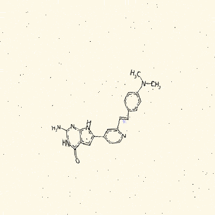 CN(C)c1ccc(/C=C/c2cc(-c3cc4c(=O)[nH]c(N)nc4[nH]3)ccn2)cc1